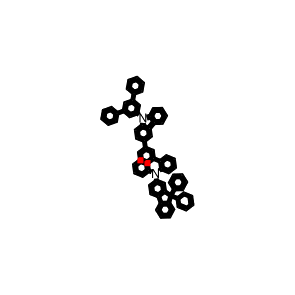 C1=CCC(C2(c3ccccc3)c3ccccc3-c3ccc(N(c4ccccc4)c4ccccc4-c4cccc(-c5ccc6c(c5)c5ccccc5n6-c5cc(-c6ccccc6)cc(-c6ccccc6)c5)c4)cc32)C=C1